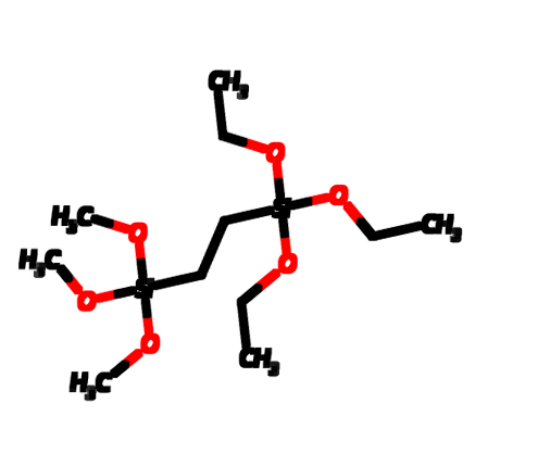 CCO[Si](CC[Si](OC)(OC)OC)(OCC)OCC